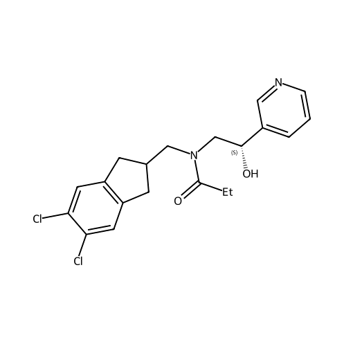 CCC(=O)N(CC1Cc2cc(Cl)c(Cl)cc2C1)C[C@@H](O)c1cccnc1